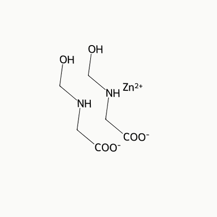 O=C([O-])CNCO.O=C([O-])CNCO.[Zn+2]